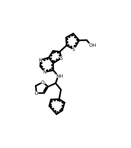 OCc1ccc(-c2cc3ncnc(NC(Cc4ccccc4)C4=COCO4)c3s2)s1